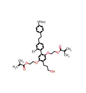 C=C(C)C(=O)OCCOc1cc(-c2ccc(CCc3ccc(CCCCC)cc3)cc2CC)c(OCCOC(=O)C(=C)C)cc1CCCO